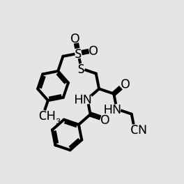 Cc1ccc(CS(=O)(=O)SCC(NC(=O)c2ccccc2)C(=O)NCC#N)cc1